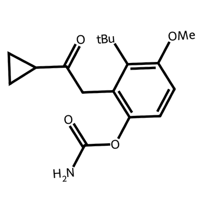 COc1ccc(OC(N)=O)c(CC(=O)C2CC2)c1C(C)(C)C